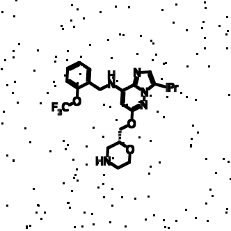 CC(C)c1cnc2c(NCc3ccccc3OC(F)(F)F)cc(OC[C@H]3CNCCO3)nn12